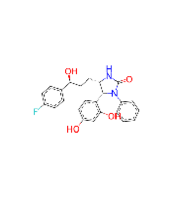 O=C1N[C@@H](CC[C@H](O)c2ccc(F)cc2)[C@@H](c2ccc(O)cc2O)N1c1ccccc1